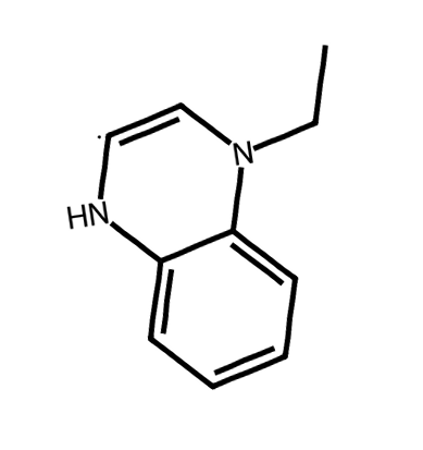 CCN1C=[C]Nc2ccccc21